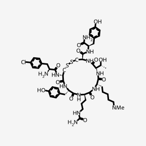 CNCCCCC[C@@H]1NC(=O)[C@@H](CCCNC(N)=O)NC(=O)[C@H](Cc2ccc(O)cc2)NC(=O)[C@H](NC(=O)[C@@H](N)Cc2ccc(Cl)cc2)CSSC[C@@H](C(=O)N[C@H](Cc2ccc(O)cc2)C(N)=O)NC(=O)[C@H]([C@@H](C)O)NC1=O